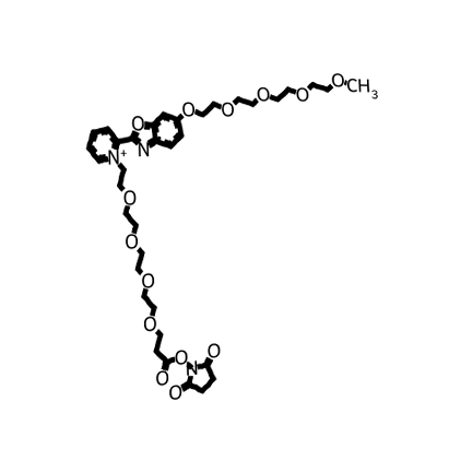 COCCOCCOCCOCCOc1ccc2nc(-c3cccc[n+]3CCOCCOCCOCCOCCC(=O)ON3C(=O)CCC3=O)oc2c1